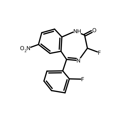 O=C1Nc2ccc([N+](=O)[O-])cc2C(c2ccccc2F)=NC1F